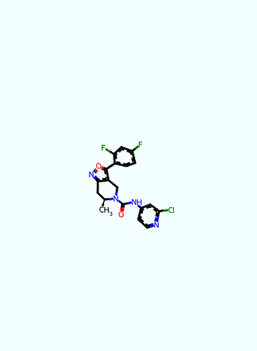 C[C@H]1Cc2noc(-c3ccc(F)cc3F)c2CN1C(=O)Nc1ccnc(Cl)c1